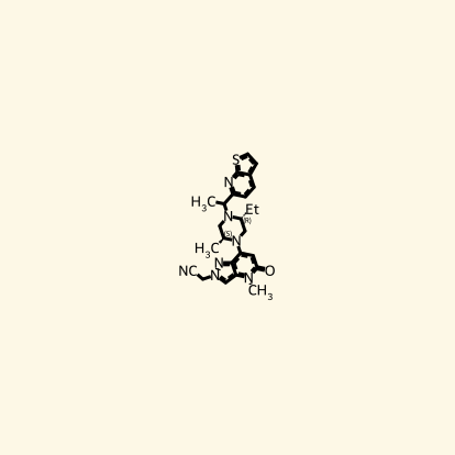 CC[C@@H]1CN(c2cc(=O)n(C)c3cn(CC#N)nc23)[C@@H](C)CN1C(C)c1ccc2ccsc2n1